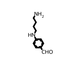 NCCCCNc1ccc(C=O)cc1